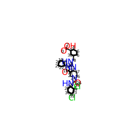 O=C(O)c1cccc(CNc2nc3c(c(=O)n2-c2ccccc2)CN(C(=O)Nc2ccc(Cl)cc2Cl)CC3)c1